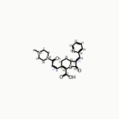 CN1CCN(C(=O)/C=C\C2=C(C(=O)O)N3C(=O)/C(=C/c4ccccn4)C3CC2)CC1